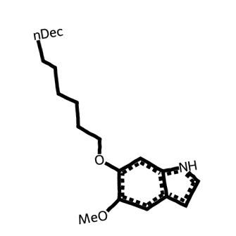 CCCCCCCCCCCCCCCCOc1cc2[nH]ccc2cc1OC